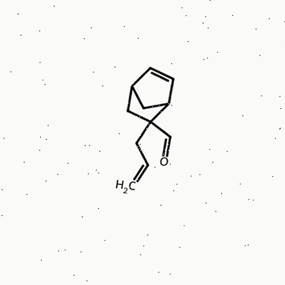 C=CCC1(C=O)CC2C=CC1C2